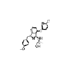 COc1ccc(Cn2nc(N[C@H](C)CO)c3c(Oc4ccc(Cl)nc4)ccnc32)cc1